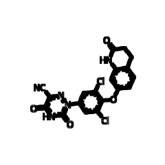 N#Cc1nn(-c2cc(Cl)c(Oc3ccc4c(c3)NC(=O)CC4)c(Cl)c2)c(=O)[nH]c1=O